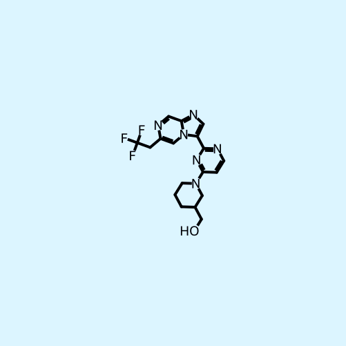 OCC1CCCN(c2ccnc(-c3cnc4cnc(CC(F)(F)F)cn34)n2)C1